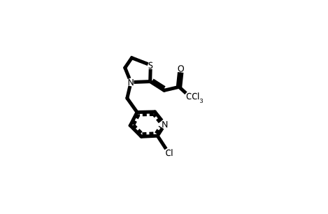 O=C(C=C1SCCN1Cc1ccc(Cl)nc1)C(Cl)(Cl)Cl